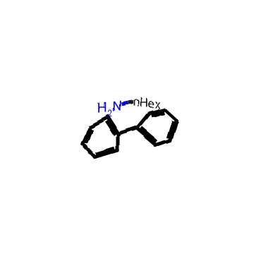 CCCCCCN.c1ccc(-c2ccccc2)cc1